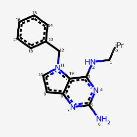 CC(C)CNc1nc(N)nc2ccn(Cc3ccccc3)c12